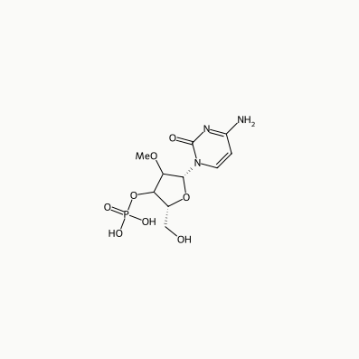 COC1C(OP(=O)(O)O)[C@@H](CO)O[C@H]1n1ccc(N)nc1=O